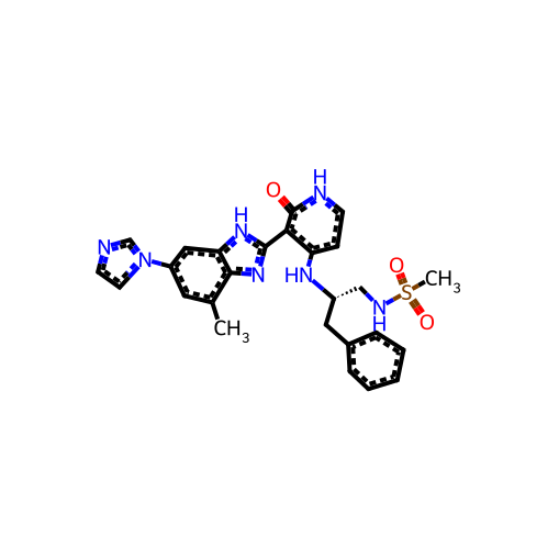 Cc1cc(-n2ccnc2)cc2[nH]c(-c3c(N[C@H](CNS(C)(=O)=O)Cc4ccccc4)cc[nH]c3=O)nc12